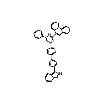 c1ccc(-c2cc(-c3ccc(-c4ccc(-c5[nH]cc6ccccc56)cc4)cc3)nc(-c3cc4ccccc4c4ccccc34)n2)cc1